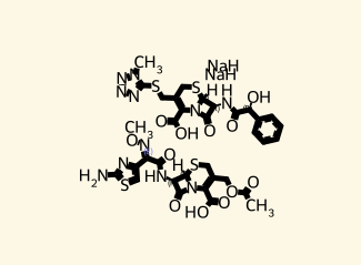 CO/N=C(/C(=O)N[C@@H]1C(=O)N2C(C(=O)O)=C(COC(C)=O)CS[C@H]12)c1csc(N)n1.Cn1nnnc1SCC1=C(C(=O)O)N2C(=O)[C@@H](NC(=O)[C@H](O)c3ccccc3)[C@H]2SC1.[NaH].[NaH]